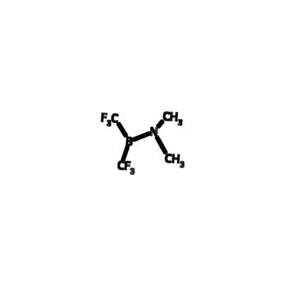 CN(C)B(C(F)(F)F)C(F)(F)F